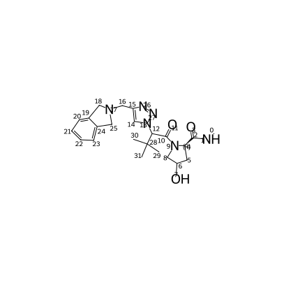 CNC(=O)[C@H]1CC(O)CN1C(=O)C(n1cc(CN2Cc3ccccc3C2)nn1)C(C)(C)C